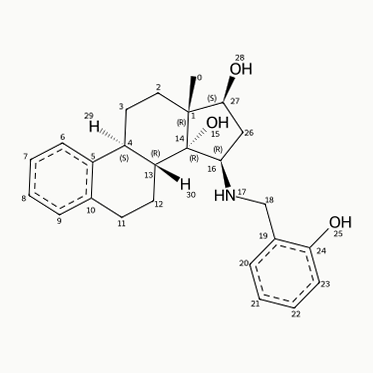 C[C@]12CC[C@@H]3c4ccccc4CC[C@H]3[C@]1(O)[C@H](NCc1ccccc1O)C[C@@H]2O